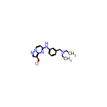 CCN(CC)Cc1cccc(Nc2ccn3ncc(C=O)c3n2)c1